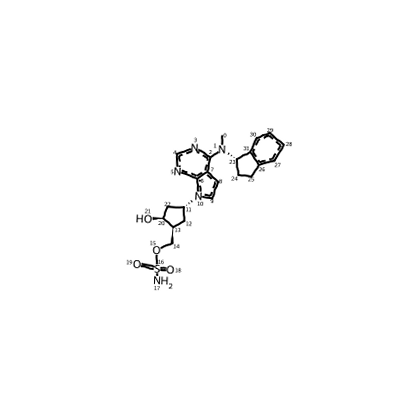 CN(c1ncnc2c1ccn2[C@@H]1C[C@@H](COS(N)(=O)=O)[C@@H](O)C1)[C@H]1CCc2ccccc21